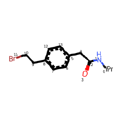 CC(C)NC(=O)Cc1ccc(CCBr)cc1